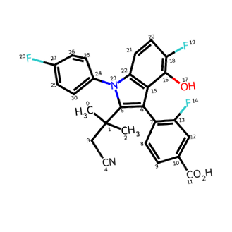 CC(C)(CC#N)c1c(-c2ccc(C(=O)O)cc2F)c2c(O)c(F)ccc2n1-c1ccc(F)cc1